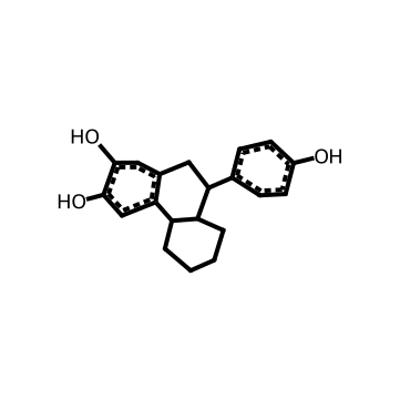 Oc1ccc(C2Cc3cc(O)c(O)cc3C3CCCCC23)cc1